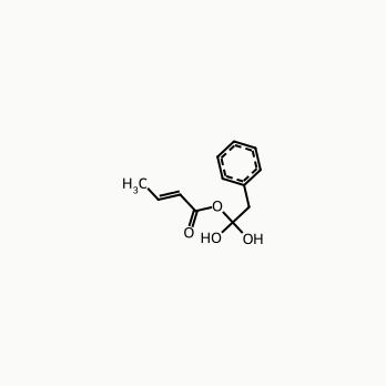 CC=CC(=O)OC(O)(O)Cc1ccccc1